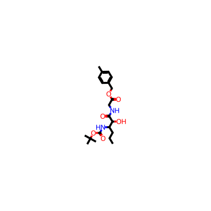 CCCC(NC(=O)OC(C)(C)C)C(O)C(=O)NCC(=O)OCc1ccc(C)cc1